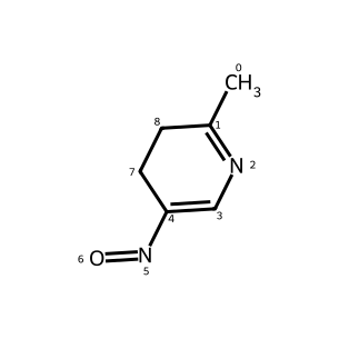 CC1=NC=C(N=O)CC1